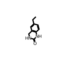 CCc1ccc2c(c1)CNC(=O)N2